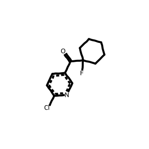 O=C(c1ccc(Cl)nc1)C1(F)CCCCC1